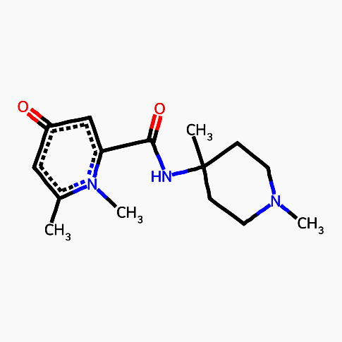 Cc1cc(=O)cc(C(=O)NC2(C)CCN(C)CC2)n1C